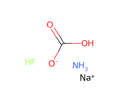 F.N.O=C([O-])O.[Na+]